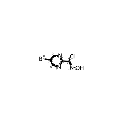 O/N=C(\Cl)c1ncc(Br)cn1